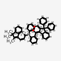 C=C(/C=C\C1=C(C)C(C)(C)c2ccccc21)N(c1ccccc1)c1ccccc1-c1cccc2c1-c1ccccc1C2(c1ccccc1)c1ccccc1